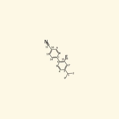 CC(C)c1ccc(-c2ccc(C#N)cc2)c(F)c1